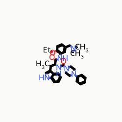 CCOc1ccc(CN(C)C)cc1NC(=O)[C@H](NC(=O)N1CCN(c2ccccc2)CC1)[C@@H](C)c1c[nH]c2ccccc12